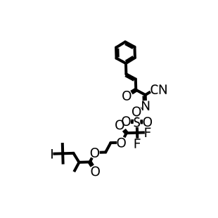 CC(CC(C)(C)I)C(=O)OCCOC(=O)C(F)(F)S(=O)(=O)O/N=C(/C#N)C(=O)/C=C/c1ccccc1